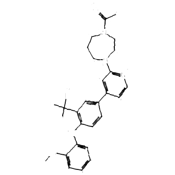 COc1ccccc1Sc1ccc(-c2ccnc(N3CCCN(C(C)=O)CC3)c2)cc1C(F)(F)F